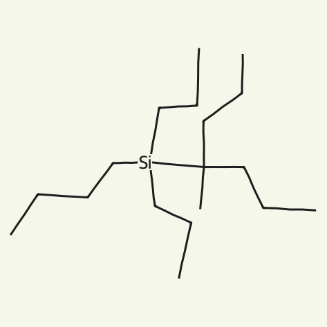 CCCC[Si](CCC)(CCC)C(C)(CCC)CCC